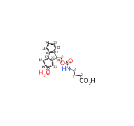 O.O=C(O)CCCNC(=O)OCC1c2ccccc2-c2ccccc21